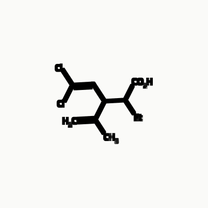 C=C(C)C(C=C(Cl)Cl)C(CC)C(=O)O